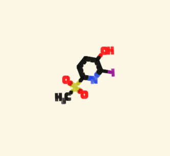 CS(=O)(=O)c1ccc(O)c(I)n1